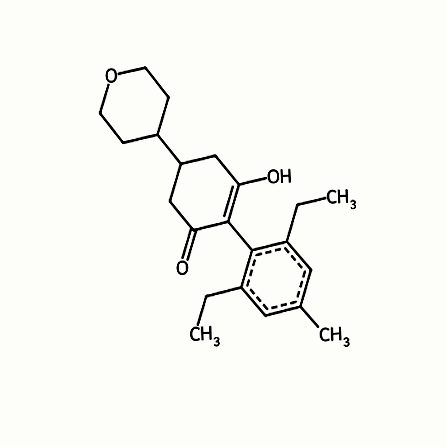 CCc1cc(C)cc(CC)c1C1=C(O)CC(C2CCOCC2)CC1=O